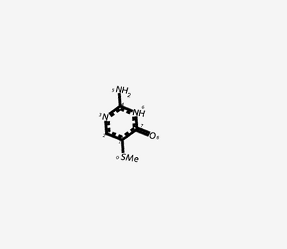 CSc1cnc(N)[nH]c1=O